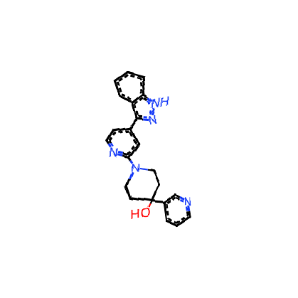 OC1(c2cccnc2)CCN(c2cc(-c3n[nH]c4ccccc34)ccn2)CC1